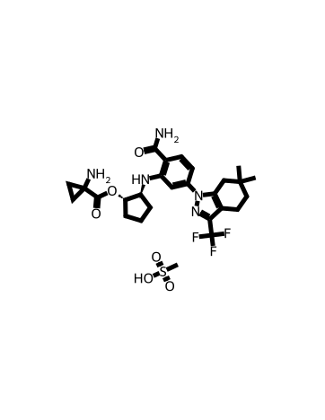 CC1(C)CCc2c(C(F)(F)F)nn(-c3ccc(C(N)=O)c(N[C@H]4CCC[C@@H]4OC(=O)C4(N)CC4)c3)c2C1.CS(=O)(=O)O